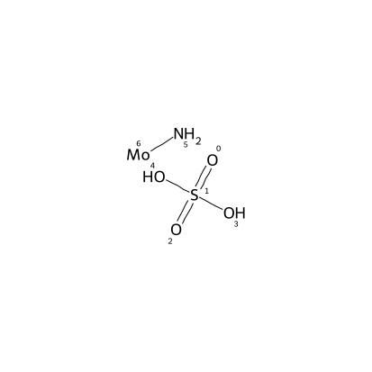 O=S(=O)(O)O.[NH2][Mo]